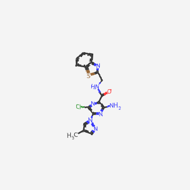 Cc1cnn(-c2nc(N)c(C(=O)NCc3nc4ccccc4s3)nc2Cl)c1